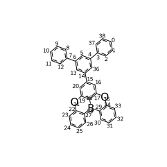 c1ccc(-c2cc(-c3ccccc3)cc(-c3cc4c5c(c3)Oc3ccccc3B5c3ccccc3O4)c2)cc1